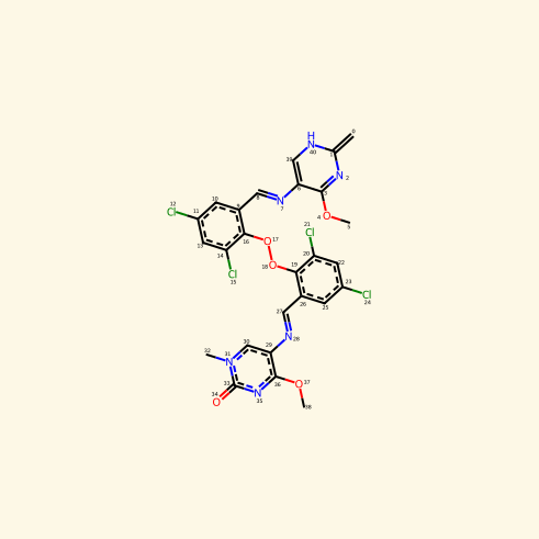 C=C1N=C(OC)C(/N=C/c2cc(Cl)cc(Cl)c2OOc2c(Cl)cc(Cl)cc2/C=N/c2cn(C)c(=O)nc2OC)=CN1